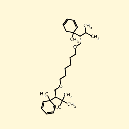 CC(C)[C@H](COCCCCCCOC[C@@H](C(C)(C)C)C1(C)C=CC=CC1)C1(C)C=CC=CC1